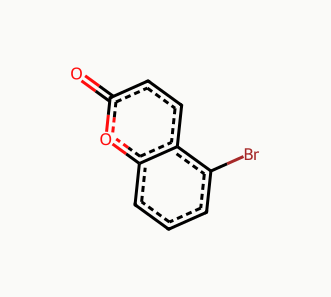 O=c1ccc2c(Br)cccc2o1